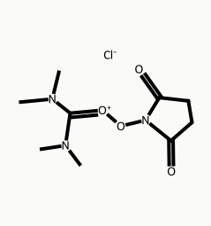 CN(C)C(=[O+]ON1C(=O)CCC1=O)N(C)C.[Cl-]